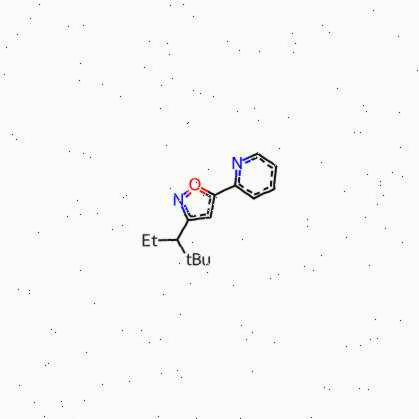 CCC(c1cc(-c2ccccn2)on1)C(C)(C)C